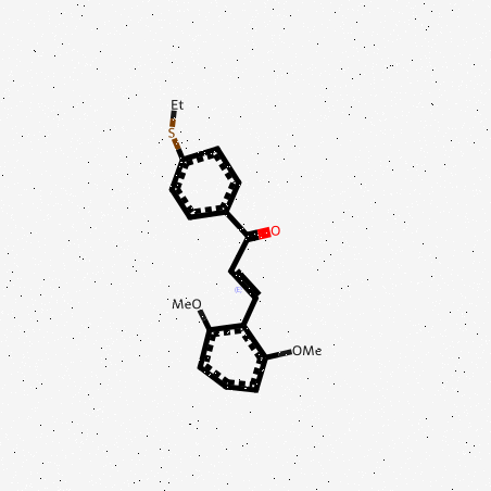 CCSc1ccc(C(=O)/C=C/c2c(OC)cccc2OC)cc1